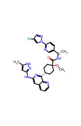 CO[C@]1(C(=O)N[C@@H](C)c2ccc(-n3cc(F)cn3)nc2)CC[C@@H](c2nc(Nc3cc(C)[nH]n3)cc3cccnc32)CC1